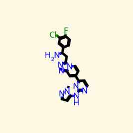 Cn1nccc1Nc1nccc(-c2ccn3c(CC(N)c4ccc(F)c(Cl)c4)nnc3c2)n1